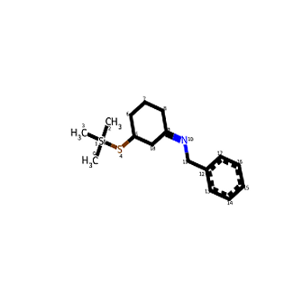 C[Si](C)(C)SC1CCC/C(=N/Cc2ccccc2)C1